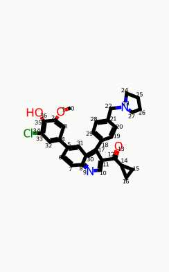 COc1cc(-c2ccc3ncc(C(=O)C4CC4)c(-c4ccc(CN5CCCC5)cc4)c3c2)cc(Cl)c1O